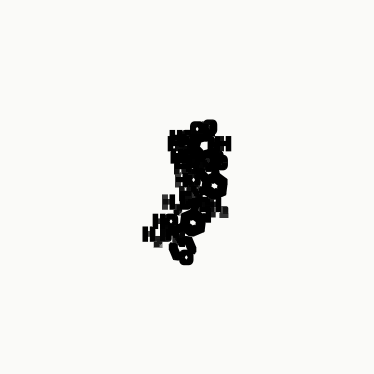 BC(B)(Nc1cccc2c1C(O)(O)N(C1(O)C(=O)NC(=O)C(O)(O)C1(O)O)C2=O)c1cc(C(B)(O)N2CCOCC2)ccc1F